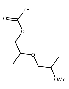 CCCC(=O)OCC(C)OCC(C)OC